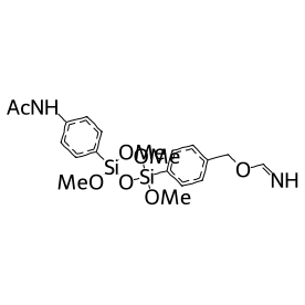 CO[Si](OC)(O[Si](OC)(OC)c1ccc(NC(C)=O)cc1)c1ccc(COC=N)cc1